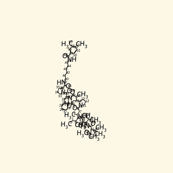 CCC(C)C(C(C)CC(=O)N1CCCC1C(C)C(C)C(=O)N[C@@H](Cc1ccccc1)C(=O)N1CCC[C@@H]1C(=O)NCCCCCCNC(=O)c1ccc(C)c(C)c1)N(C)C(=O)[C@@H](NC(=O)C(C(C)C)N(C)C)C(C)C